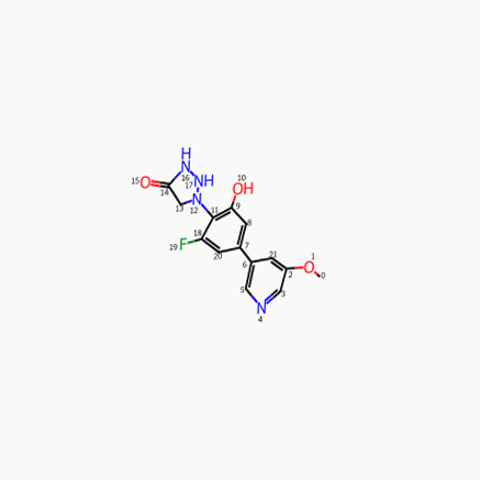 COc1cncc(-c2cc(O)c(N3CC(=O)NN3)c(F)c2)c1